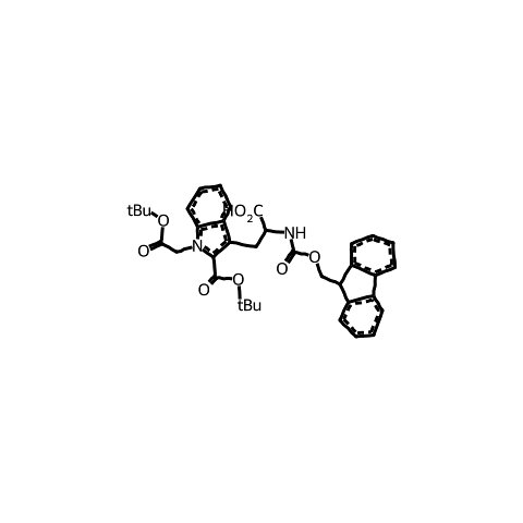 CC(C)(C)OC(=O)Cn1c(C(=O)OC(C)(C)C)c(CC(NC(=O)OCC2c3ccccc3-c3ccccc32)C(=O)O)c2ccccc21